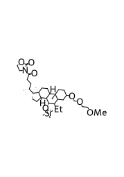 CC[C@@H]1C2C[C@H](OCOCCOC)CC[C@@]2(C)[C@H]2CC[C@]3(C)[C@@H]([C@H](C)CCC(=O)N4CCOC4=O)CC[C@H]3C2[C@@H]1O[Si](C)(C)C